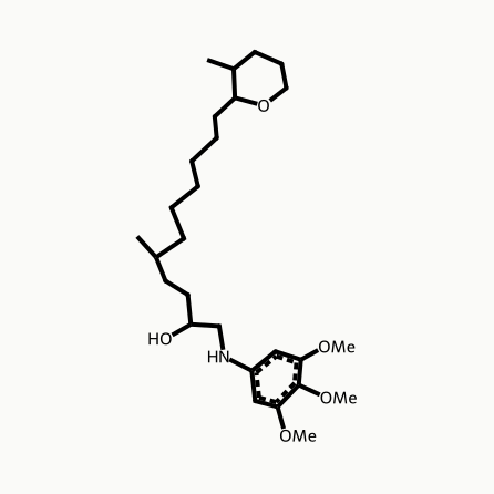 COc1cc(NCC(O)CCC(C)CCCCCCC2OCCCC2C)cc(OC)c1OC